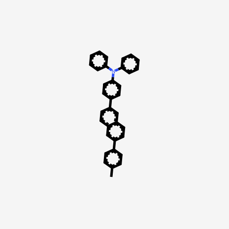 Cc1ccc(-c2ccc3cc(-c4ccc(N(c5ccccc5)c5ccccc5)cc4)ccc3c2)cc1